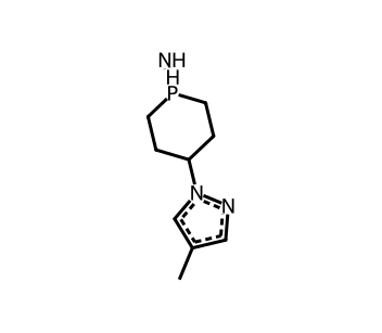 Cc1cnn(C2CC[PH](=N)CC2)c1